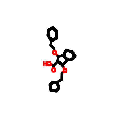 O=C(O)C1=C(OCCc2ccccc2)c2ccccc2C1OCCc1ccccc1